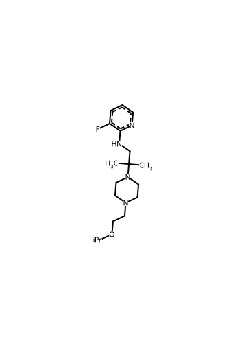 CC(C)OCCN1CCN(C(C)(C)CNc2ncccc2F)CC1